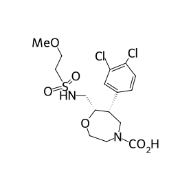 COCCS(=O)(=O)NC[C@H]1OCCN(C(=O)O)C[C@H]1c1ccc(Cl)c(Cl)c1